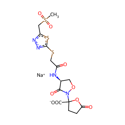 CS(=O)(=O)Cc1nnc(SCC(=O)N[C@H]2CON(C3(C(=O)[O-])CCC(=O)O3)C2=O)s1.[Na+]